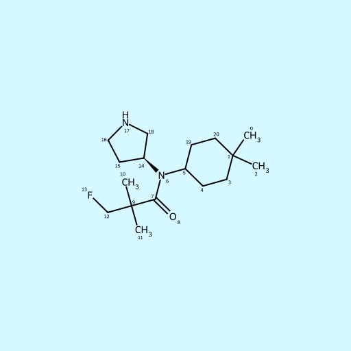 CC1(C)CCC(N(C(=O)C(C)(C)CF)[C@H]2CCNC2)CC1